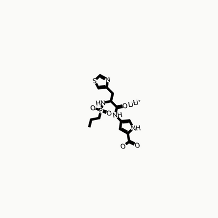 CCCP(=O)([O-])NC(Cc1cscn1)C(=O)Nc1c[nH]c(C(=O)[O-])c1.[Li+].[Li+]